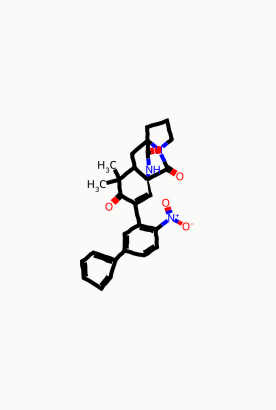 CC1(C)C(=O)C(c2cc(-c3ccccc3)ccc2[N+](=O)[O-])=C[C@@]23NC(=O)C4(CCCN4C2=O)CC13